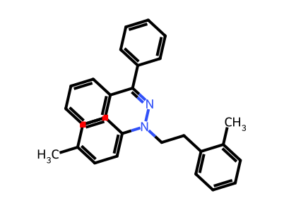 Cc1ccc(N(CCc2ccccc2C)N=C(c2ccccc2)c2ccccc2)cc1